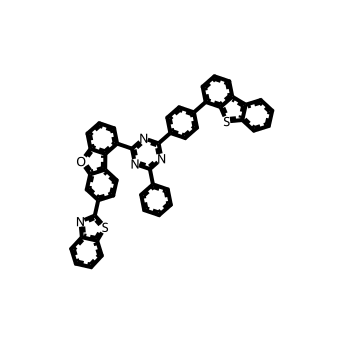 c1ccc(-c2nc(-c3ccc(-c4cccc5c4sc4ccccc45)cc3)nc(-c3cccc4oc5cc(-c6nc7ccccc7s6)ccc5c34)n2)cc1